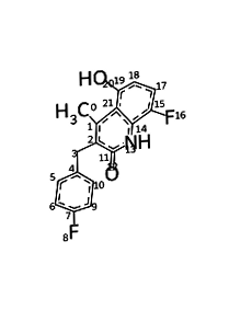 Cc1c(Cc2ccc(F)cc2)c(=O)[nH]c2c(F)ccc(O)c12